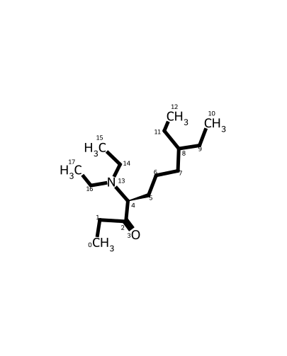 CCC(=O)[C@H](CCCC(CC)CC)N(CC)CC